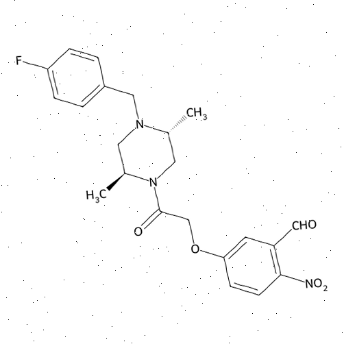 C[C@@H]1CN(C(=O)COc2ccc([N+](=O)[O-])c(C=O)c2)[C@@H](C)CN1Cc1ccc(F)cc1